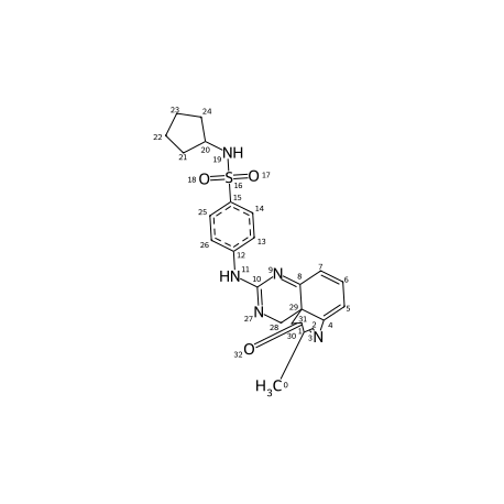 CC1C=NC2=CC=CC3=NC(Nc4ccc(S(=O)(=O)NC5CCCC5)cc4)=NCC23CC1=O